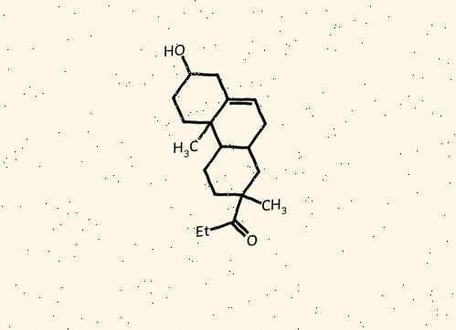 CCC(=O)C1(C)CCC2C(CC=C3CC(O)CCC32C)C1